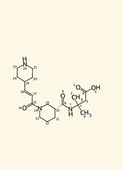 CC(C)(CC(=O)O)NC(=O)[C@@H]1CCCN(C(=O)/C=C/C2CCNCC2)C1